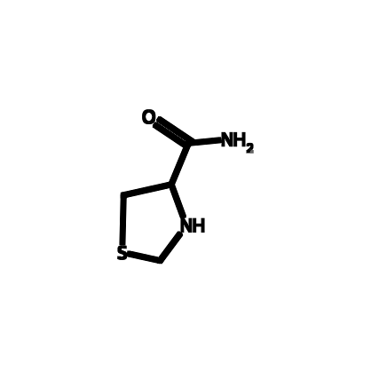 NC(=O)C1CSCN1